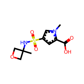 Cn1cc(S(=O)(=O)NC2(C)COC2)cc1C(=O)O